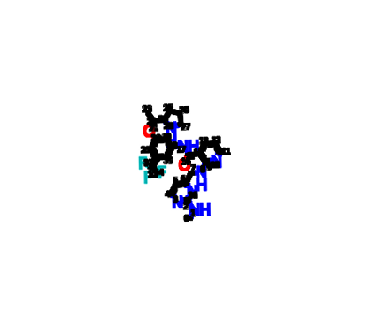 CNc1nccc(CNc2ncccc2C(=O)Nc2cc(OC(C)C3CCCN3)cc(C(F)(F)F)c2)n1